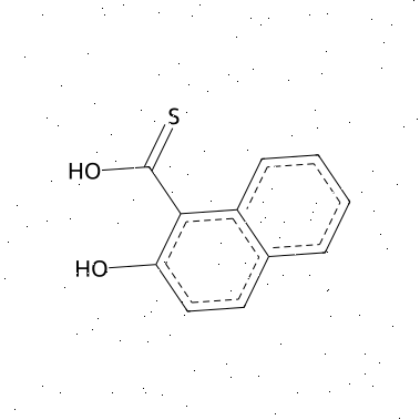 OC(=S)c1c(O)ccc2ccccc12